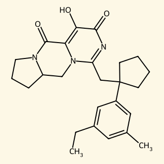 CCc1cc(C)cc(C2(Cc3nc(=O)c(O)c4n3CC3CCCN3C4=O)CCCC2)c1